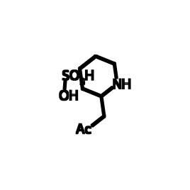 CC(=O)CC1CCCCN1.O=S(=O)(O)O